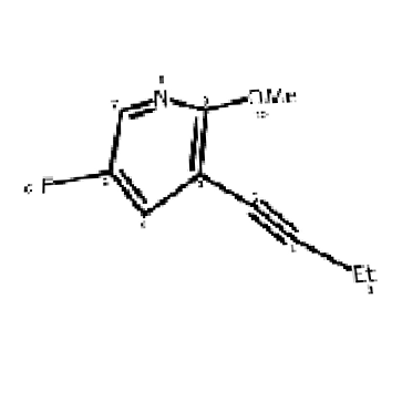 CCC#Cc1cc(F)cnc1OC